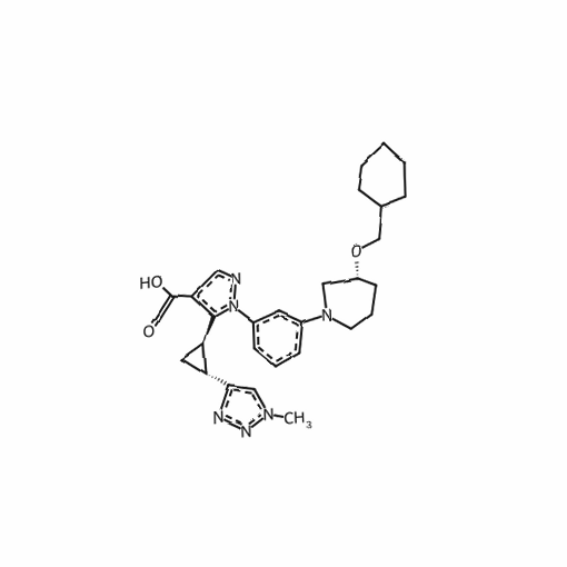 Cn1cc([C@@H]2C[C@H]2c2c(C(=O)O)cnn2-c2cccc(N3CCC[C@@H](OCC4CCCCC4)C3)c2)nn1